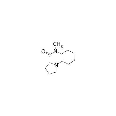 CN([C]=O)C1CCCCC1N1CCCC1